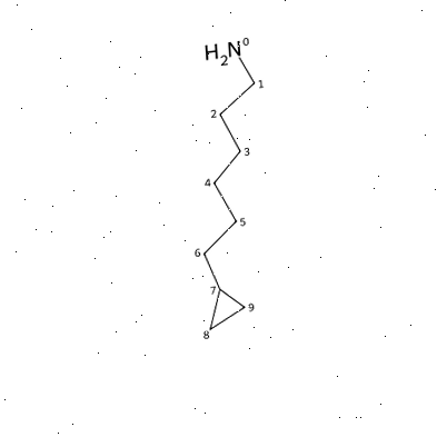 NCCCCCCC1CC1